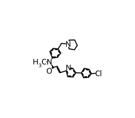 CN(C(=O)/C=C/c1ccc(-c2ccc(Cl)cc2)cn1)c1ccc(CN2CCCCC2)cc1